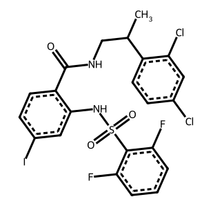 CC(CNC(=O)c1ccc(I)cc1NS(=O)(=O)c1c(F)cccc1F)c1ccc(Cl)cc1Cl